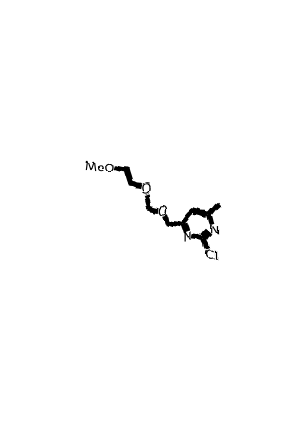 COCCOCOCc1cc(C)nc(Cl)n1